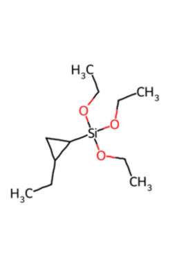 CCO[Si](OCC)(OCC)C1CC1CC